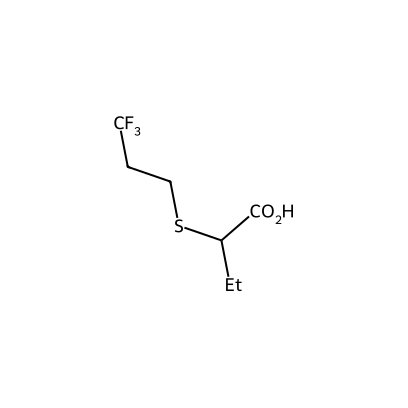 CCC(SCCC(F)(F)F)C(=O)O